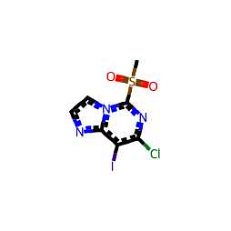 CS(=O)(=O)c1nc(Cl)c(I)c2nccn12